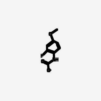 COc1ccc(NC([O])=O)c(F)c1